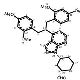 COc1ccc(CN(Cc2ccc(OC)cc2OC)c2ncnc3c2nnn3[C@@H]2CCC[C@H](C=O)C2)c(OC)c1